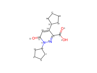 O=C(O)c1nn(C2CCCC2)c(=O)cc1C1CCCC1